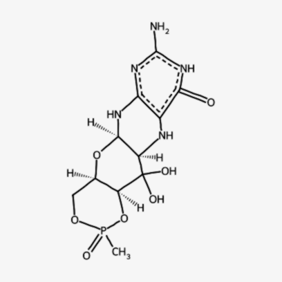 CP1(=O)OC[C@H]2O[C@H]3Nc4nc(N)[nH]c(=O)c4N[C@H]3C(O)(O)[C@H]2O1